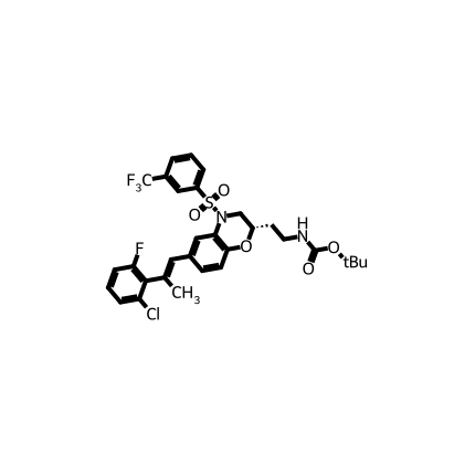 C/C(=C\c1ccc2c(c1)N(S(=O)(=O)c1cccc(C(F)(F)F)c1)C[C@H](CCNC(=O)OC(C)(C)C)O2)c1c(F)cccc1Cl